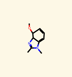 COC1C=CC=C2C1N=C(C)N2C